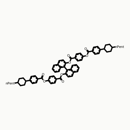 CCCCCC1CCC(c2ccc(C(=O)Oc3ccc(C(=O)Oc4ccc5ccccc5c4-c4c(OC(=O)c5ccc(OC(=O)c6ccc(C7CCC(CCCCC)CC7)cc6)cc5)ccc5ccccc45)cc3)cc2)CC1